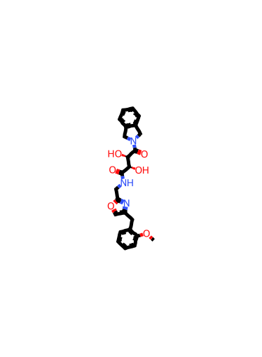 COc1ccccc1Cc1coc(CNC(=O)[C@H](O)[C@@H](O)C(=O)N2Cc3ccccc3C2)n1